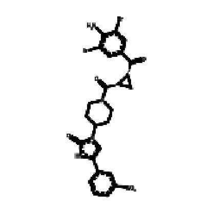 Nc1c(Br)cc(C(=O)[C@@H]2C[C@H]2C(=O)N2CCC(n3cc(-c4cccc([N+](=O)[O-])c4)[nH]c3=O)CC2)cc1Br